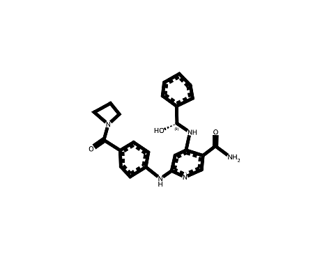 NC(=O)c1cnc(Nc2ccc(C(=O)N3CCC3)cc2)cc1N[C@H](O)c1ccccc1